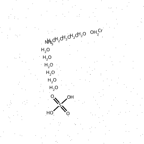 N.O.O.O.O.O.O.O.O.O.O.O.O.O=S(=O)(O)O.[Cr]